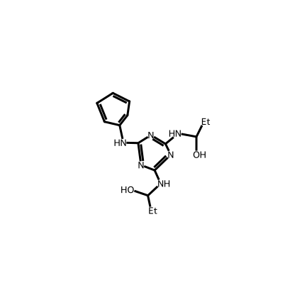 CCC(O)Nc1nc(Nc2ccccc2)nc(NC(O)CC)n1